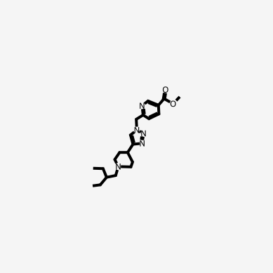 CCC(CC)CN1CCC(c2cn(Cc3ccc(C(=O)OC)cn3)nn2)CC1